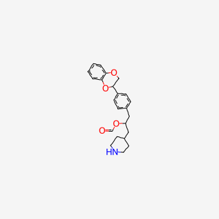 O=COC(Cc1ccc(C2COc3ccccc3O2)cc1)CC1CCNCC1